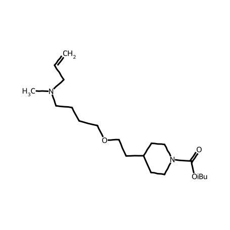 C=CCN(C)CCCCOCCC1CCN(C(=O)OCC(C)C)CC1